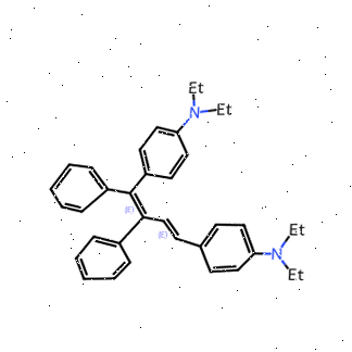 CCN(CC)c1ccc(/C=C/C(=C(/c2ccccc2)c2ccc(N(CC)CC)cc2)c2ccccc2)cc1